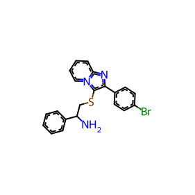 NC(CSc1c(-c2ccc(Br)cc2)nc2ccccn12)c1ccccc1